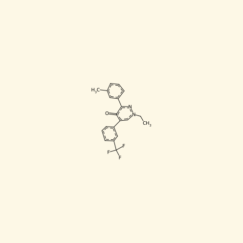 CCn1cc(-c2cccc(C(F)(F)F)c2)c(=O)c(-c2cccc(C)c2)n1